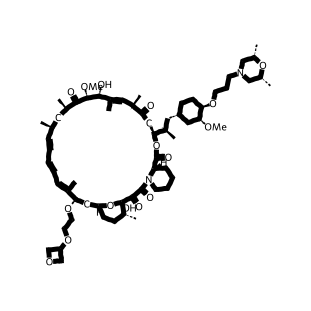 CO[C@@H]1C[C@H](C[C@@H](C)[C@@H]2CC(=O)[C@H](C)/C=C(\C)[C@@H](O)[C@@H](OC)C(=O)[C@H](C)C[C@H](C)/C=C/C=C/C=C(\C)[C@@H](OCCOC3COC3)C[C@@H]3CC[C@@H](C)[C@@](O)(O3)C(=O)C(=O)N3CCCC[C@H]3C(=O)O2)CC[C@H]1OCCCN1C[C@@H](C)O[C@@H](C)C1